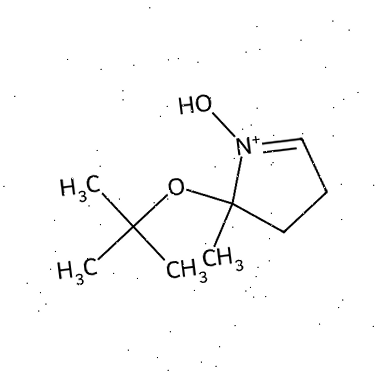 CC(C)(C)OC1(C)CCC=[N+]1O